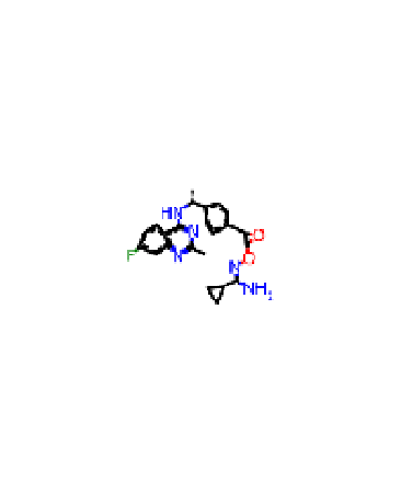 Cc1nc(N[C@@H](C)c2ccc(C3OC3O/N=C(\N)C3CC3)cc2)c2ccc(F)cc2n1